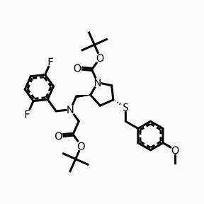 COc1ccc(CS[C@@H]2C[C@@H](CN(CC(=O)OC(C)(C)C)Cc3cc(F)ccc3F)N(C(=O)OC(C)(C)C)C2)cc1